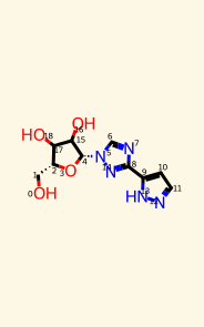 OC[C@H]1O[C@@H](n2cnc(-c3ccn[nH]3)n2)C(O)C1O